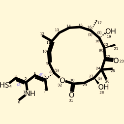 CNC(=C\S)/C=C(\C)[C@@H]1C=C=C(C)CCC[C@H](C)[C@H](O)[C@@H](C)C(=O)C(C)(C)[C@@H](O)CC(=O)O1